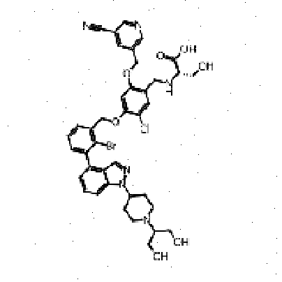 N#Cc1cncc(COc2cc(OCc3cccc(-c4cccc5c4cnn5C4CCN(C(CO)CO)CC4)c3Br)c(Cl)cc2CN[C@@H](CO)C(=O)O)c1